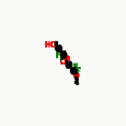 C=CCCOc1ccc(-c2ccc(C(=O)Oc3ccc(-c4ccc(C(C)O)cc4)c(F)c3F)cc2)c(F)c1F